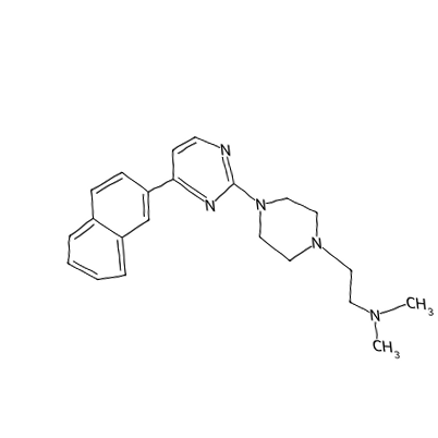 CN(C)CCN1CCN(c2nccc(-c3ccc4ccccc4c3)n2)CC1